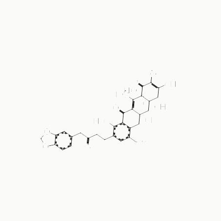 CC(=O)C1=C(C)C[C@@]2(C)C[C@@]3(C)Cc4c(C(C)C)cc(CCC(=O)Cc5ccc6c(c5)OCO6)c(C)c4C(=O)C3=C(O)[C@@]2(O)C1=O